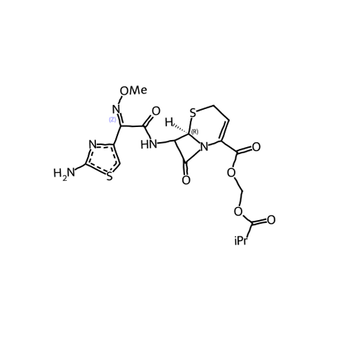 CO/N=C(\C(=O)NC1C(=O)N2C(C(=O)OCOC(=O)C(C)C)=CCS[C@H]12)c1csc(N)n1